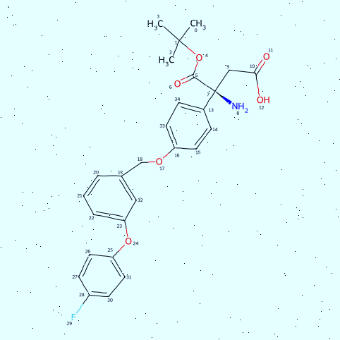 CC(C)(C)OC(=O)[C@](N)(CC(=O)O)c1ccc(OCc2cccc(Oc3ccc(F)cc3)c2)cc1